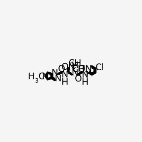 CN1Cc2cnc(C(=O)NC(CNC(=O)C(=O)Nc3ccc(Cl)cn3)C(=O)N(C)C)nc2C1